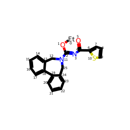 CCOC(=NC(=O)c1cccs1)N1Cc2ccccc2-c2ccccc2C1